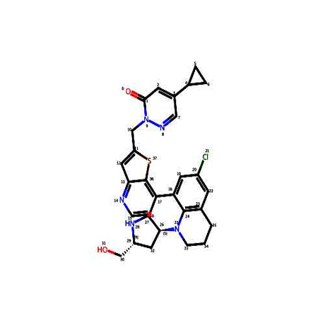 O=c1cc(C2CC2)cnn1Cc1cc2nccc(-c3cc(Cl)cc4c3N([C@@H]3CN[C@@H](CO)C3)CCC4)c2s1